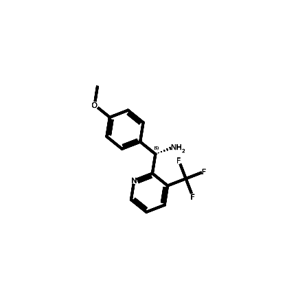 COc1ccc([C@H](N)c2ncccc2C(F)(F)F)cc1